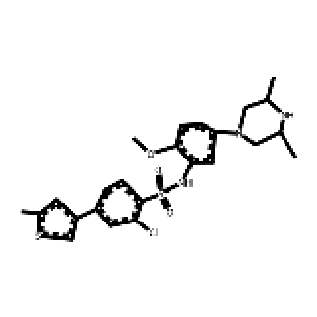 COc1ccc(N2CC(C)NC(C)C2)cc1NS(=O)(=O)c1ccc(-c2csc(C)c2)cc1Cl